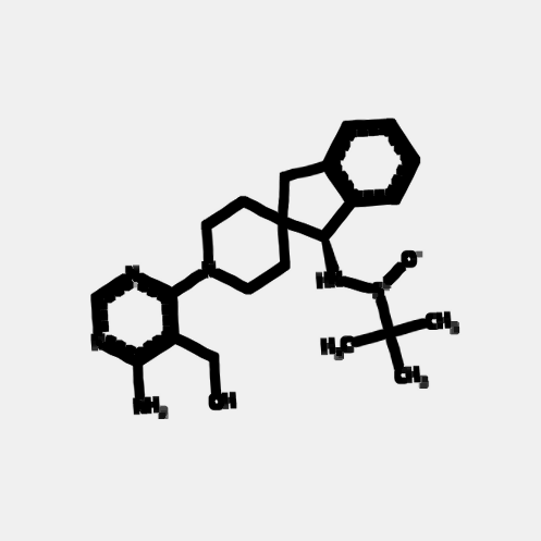 CC(C)(C)[S+]([O-])N[C@@H]1c2ccccc2CC12CCN(c1ncnc(N)c1CO)CC2